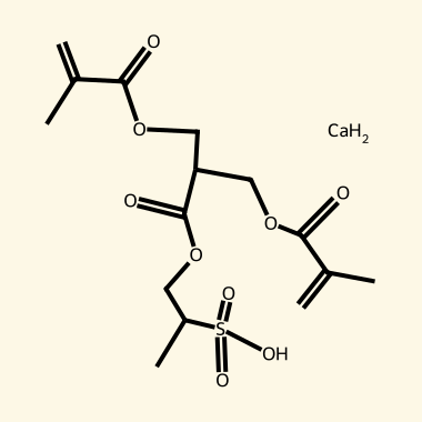 C=C(C)C(=O)OCC(COC(=O)C(=C)C)C(=O)OCC(C)S(=O)(=O)O.[CaH2]